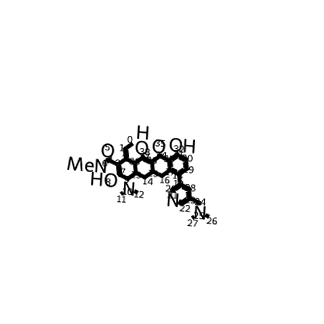 C/C=C1/C(C(=O)NC)=C(O)[C@@H](N(C)C)C2CC3Cc4c(-c5cncc(CN(C)C)c5)ccc(O)c4C(=O)C3=C(O)C12